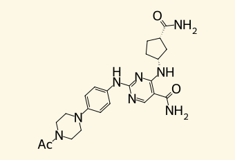 CC(=O)N1CCN(c2ccc(Nc3ncc(C(N)=O)c(N[C@@H]4CC[C@H](C(N)=O)C4)n3)cc2)CC1